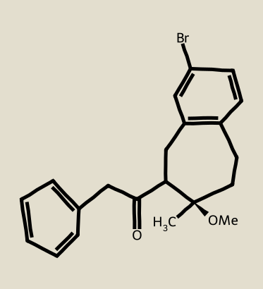 CO[C@]1(C)CCc2ccc(Br)cc2CC1C(=O)Cc1ccccc1